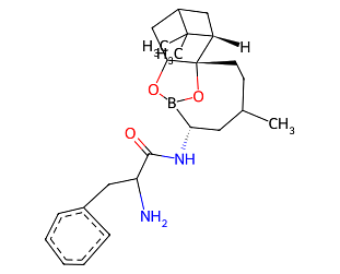 CC1CC[C@@]23OB(OC2CC2C[C@H]3C2(C)C)[C@@H](NC(=O)C(N)Cc2ccccc2)C1